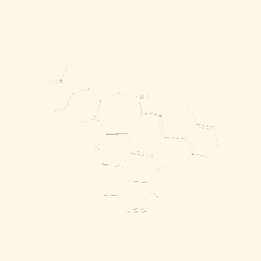 C=CC(=O)N1CC2CNc3c(Cl)c(-c4c(O)ccc(F)c4F)nc4c3c(nc(=O)n4-c3c(C)ccnc3C(C)C)N2CC1C